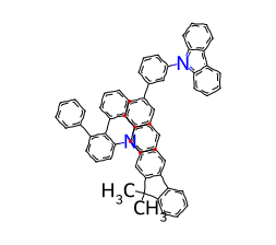 CC1(C)c2ccccc2-c2ccc(N(c3ccc(-c4cccc(-n5c6ccccc6c6ccccc65)c4)cc3)c3cccc(-c4ccccc4)c3-c3ccccc3-c3ccccc3)cc21